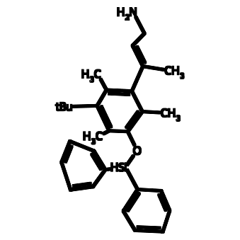 CC(=CCN)c1c(C)c(O[SiH](c2ccccc2)c2ccccc2)c(C)c(C(C)(C)C)c1C